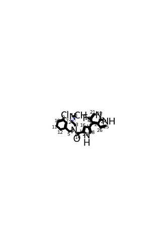 C/N=C\CN(CC1=CC(Cl)=CCC1)C(=O)c1cc(-c2c(F)cnc3[nH]ccc23)c[nH]1